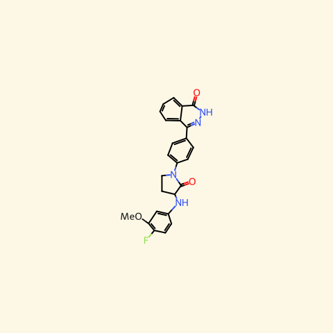 COc1cc(NC2CCN(c3ccc(-c4n[nH]c(=O)c5ccccc45)cc3)C2=O)ccc1F